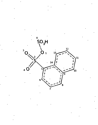 O=S(=O)(O)OS(=O)(=O)c1cccc2ccccc12